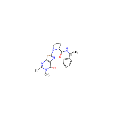 CCc1nc2sc(N3CCCC3C(=O)N[C@@H](C)c3ccccc3)nc2c(=O)n1C